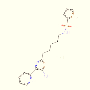 Cl.Nc1sc(CCCCCNS(=O)(=O)c2cccs2)nc1-c1ccccn1